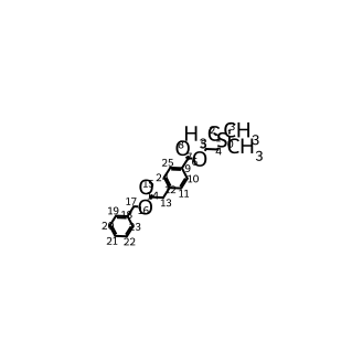 C[Si](C)(C)CCOC(=O)c1ccc(CC(=O)OCc2ccccc2)cc1